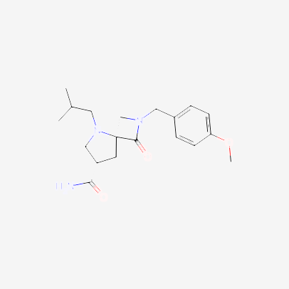 COc1ccc(CN2C[C@@]3(C[C@H](C(N)=O)CN3CC(C)C)C2=O)cc1